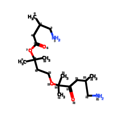 CC(CN)CC(=O)OC(C)(C)CCOC(C)(C)C(=O)CC(C)CN